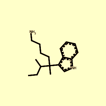 CCC(C)C(C)(CCCCN)c1c[nH]c2ccccc12